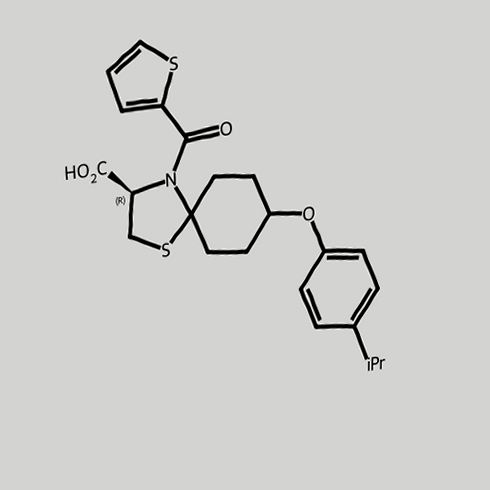 CC(C)c1ccc(OC2CCC3(CC2)SC[C@@H](C(=O)O)N3C(=O)c2cccs2)cc1